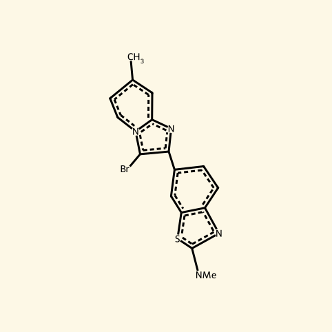 CNc1nc2ccc(-c3nc4cc(C)ccn4c3Br)cc2s1